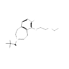 CCOCCNc1c(Cl)ccc2c1CCN(C(=O)C(F)(F)F)CC2